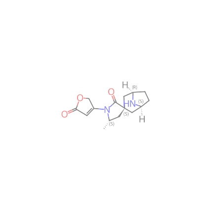 C[C@H]1C[C@]2(C[C@H]3CC[C@@H](C2)N3)C(=O)N1C1=CC(=O)OC1